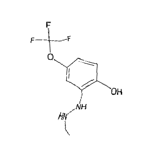 CNNc1cc(OC(F)(F)F)ccc1O